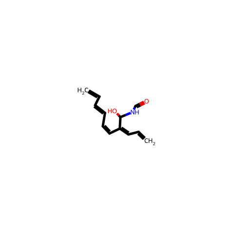 C=C/C=C(/C=C\C=C\C=C)C(O)NC=O